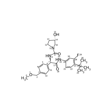 COCc1ccc([C@@H](NC(=O)N2CC[C@H](O)C2)C(=O)Nc2ccc([Si](C)(C)C)c(F)c2)cc1